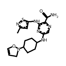 Cc1cc(Nc2nc(NC3CCC(N4CC=CO4)CC3)cnc2C(N)=O)sn1